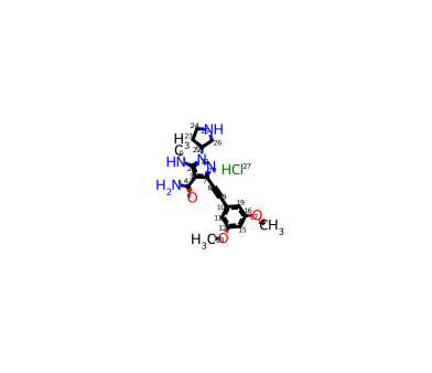 CNc1c(C(N)=O)c(C#Cc2cc(OC)cc(OC)c2)nn1[C@H]1CCNC1.Cl